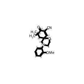 COc1ccccc1N1CCOC2(C=C(C#N)C(=O)C(C)(C)C2)C1